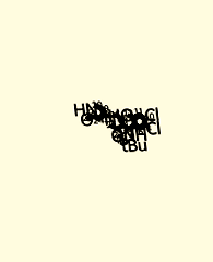 CC(C)(C)[S@+]([O-])NC(c1cc(Cl)c(Cl)cc1O)C1CCN(c2cc[nH]c(=O)c2)CC1